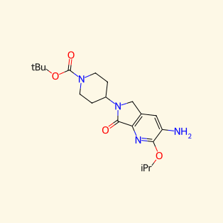 CC(C)Oc1nc2c(cc1N)CN(C1CCN(C(=O)OC(C)(C)C)CC1)C2=O